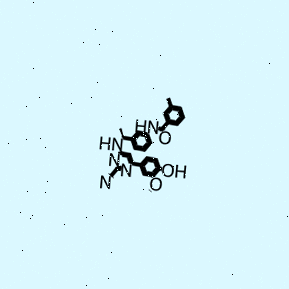 COc1cc(-c2cc(N[C@@H](C)c3cccc(NC(=O)c4cccc(C)c4)c3)nc(C#N)n2)ccc1O